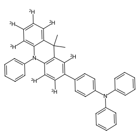 [2H]c1c([2H])c([2H])c2c(c1[2H])N(c1ccccc1)c1c([2H])c([2H])c(-c3ccc(N(c4ccccc4)c4ccccc4)cc3)c([2H])c1C2(C)C